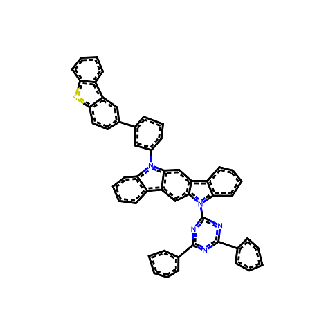 c1ccc(-c2nc(-c3ccccc3)nc(-n3c4ccccc4c4cc5c(cc43)c3ccccc3n5-c3cccc(-c4ccc5sc6ccccc6c5c4)c3)n2)cc1